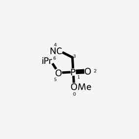 COP(=O)(CC#N)OC(C)C